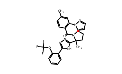 Cc1ccc(C(=O)N2CCCC2(C)c2nnc(-c3ccccc3OC(F)(F)F)[nH]2)c(-n2nccn2)c1